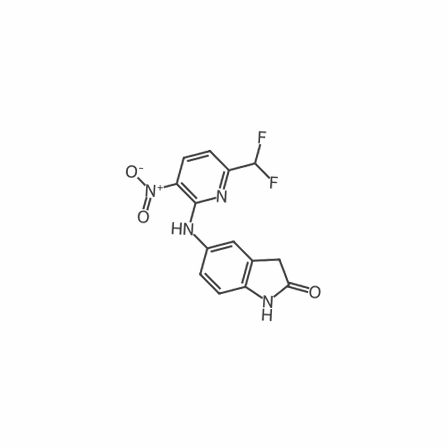 O=C1Cc2cc(Nc3nc(C(F)F)ccc3[N+](=O)[O-])ccc2N1